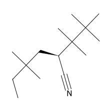 CCC(C)(C)C[C@H](C#N)C(C)(C)C(C)(C)C